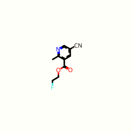 Cc1ncc(C#N)cc1C(=O)OCCF